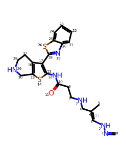 C=NN/C=C(\C)CNCCC(=O)Nc1sc2c(c1-c1nc3ccccc3s1)CCNC2